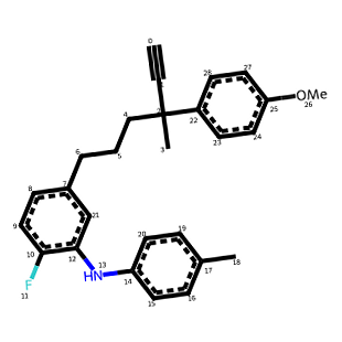 C#CC(C)(CCCc1ccc(F)c(Nc2ccc(C)cc2)c1)c1ccc(OC)cc1